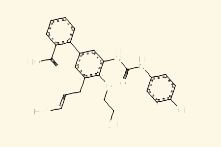 CC=CCc1cc(-c2ccccc2C(=O)O)cc(NC(=O)Nc2ccc(C)cc2)c1OCCC